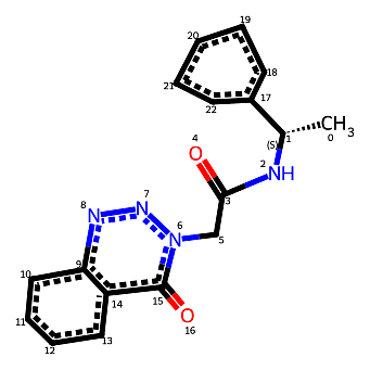 C[C@H](NC(=O)Cn1nnc2ccccc2c1=O)c1ccccc1